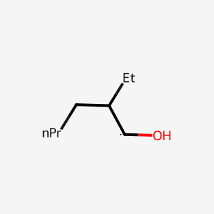 CCCCC([CH]O)CC